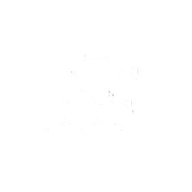 C=C1CCOc2cc(F)cc(F)c2N1C